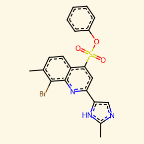 Cc1ncc(-c2cc(S(=O)(=O)Oc3ccccc3)c3ccc(C)c(Br)c3n2)[nH]1